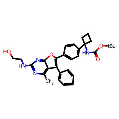 CC(C)(C)OC(=O)NC1(c2ccc(-c3oc4nc(NCCO)nc(C(F)(F)F)c4c3-c3ccccc3)cc2)CCC1